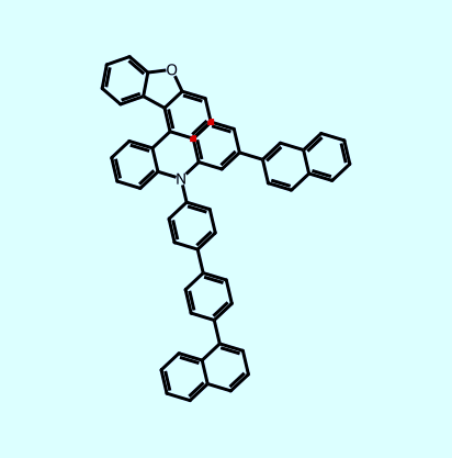 c1cc(-c2ccc3ccccc3c2)cc(N(c2ccc(-c3ccc(-c4cccc5ccccc45)cc3)cc2)c2ccccc2-c2cccc3oc4ccccc4c23)c1